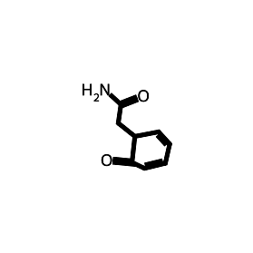 NC(=O)CC1C=CC=CC1=O